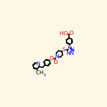 Cc1cccnc1Cc1ccc(OC(=O)N2CCC(Sc3nnnn3-c3ccc(C(=O)O)cc3)CC2)cc1